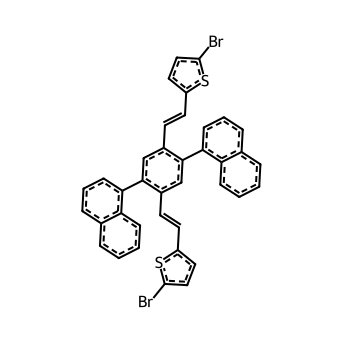 Brc1ccc(/C=C/c2cc(-c3cccc4ccccc34)c(/C=C/c3ccc(Br)s3)cc2-c2cccc3ccccc23)s1